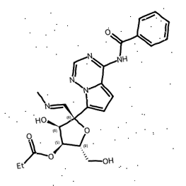 CCC(=O)O[C@H]1[C@@H](O)[C@](C=NC)(c2ccc3c(NC(=O)c4ccccc4)ncnn23)O[C@@H]1CO